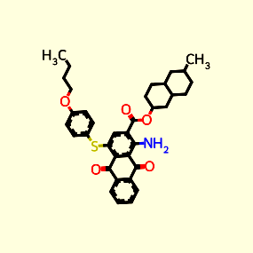 CCCCOc1ccc(Sc2cc(C(=O)OC3CCC4CC(C)CCC4C3)c(N)c3c2C(=O)c2ccccc2C3=O)cc1